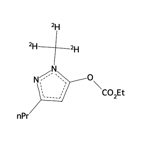 [2H]C([2H])([2H])n1nc(CCC)cc1OC(=O)OCC